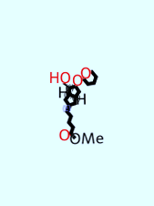 COC(=O)CCC/C=C1\C[C@H]2CC(OC3CCCCO3)[C@H](CO)[C@H]2C1